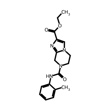 CCOC(=O)c1cn2c(n1)CN(C(=O)Nc1ccccc1C)CC2